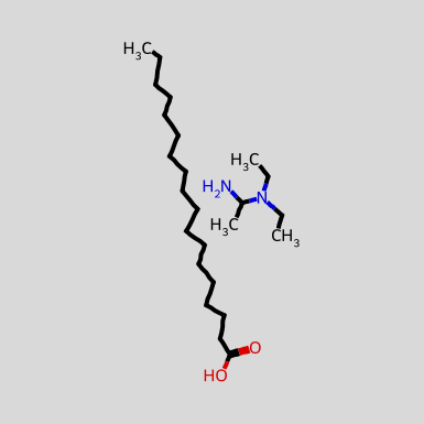 CCCCCCCCCCCCCCCCCC(=O)O.CCN(CC)C(C)N